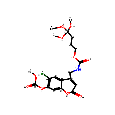 CCO[Si](CCCOC(=O)NCc1cc(=O)oc2cc(OC(=O)OC(C)(C)C)c(Br)cc12)(OCC)OCC